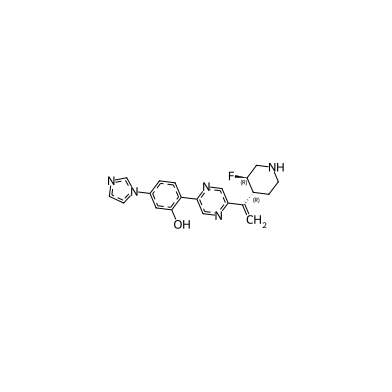 C=C(c1cnc(-c2ccc(-n3ccnc3)cc2O)cn1)[C@H]1CCNC[C@@H]1F